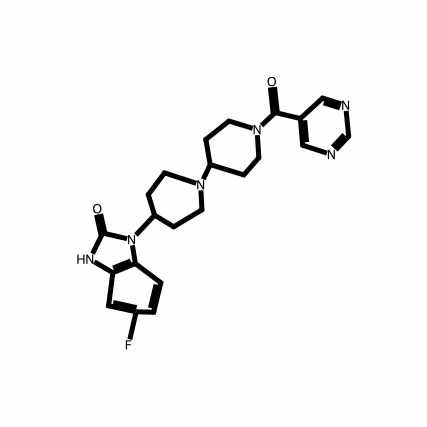 O=C(c1cncnc1)N1CCC(N2CCC(n3c(=O)[nH]c4cc(F)ccc43)CC2)CC1